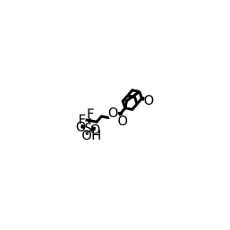 O=C1C2CC3CC1CC(C(=O)OCCCC(F)(F)S(=O)(=O)O)(C3)C2